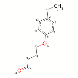 CCc1ccc(OCCC[C]=O)cc1